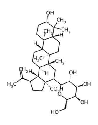 C=C(C)[C@@H]1CC[C@]2(C(=O)O)C(C3O[C@H](CO)[C@H](O)[C@H](O)[C@H]3O)C[C@]3(C)[C@H](CC[C@@H]4[C@@]5(C)CC[C@H](O)C(C)(C)[C@@H]5CC[C@]43C)[C@@H]12